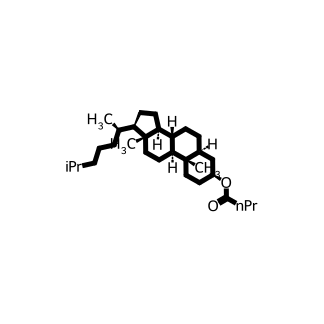 CCCC(=O)O[C@H]1CC[C@@]2(C)[C@@H](CC[C@@H]3[C@@H]2CC[C@]2(C)[C@@H]([C@H](C)CCCC(C)C)CC[C@@H]32)C1